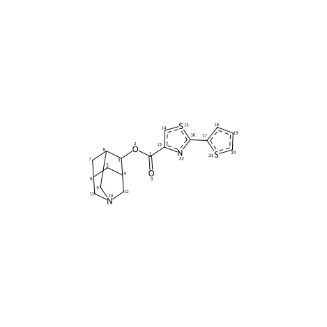 O=C(OC1C2CC3CC1CN(C3)C2)c1csc(-c2cccs2)n1